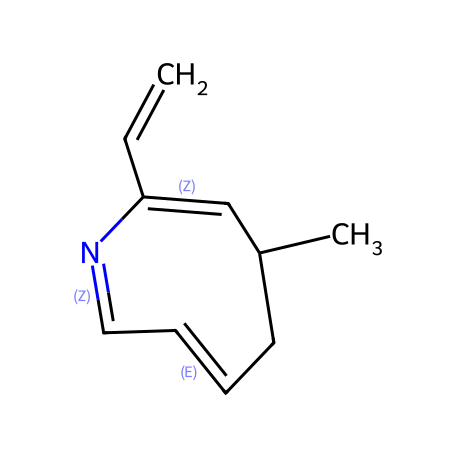 C=CC1=C/C(C)C/C=C/C=N\1